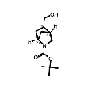 CC(C)(C)OC(=O)N1C[C@@H]2C[C@H]1C[C@H]2CO